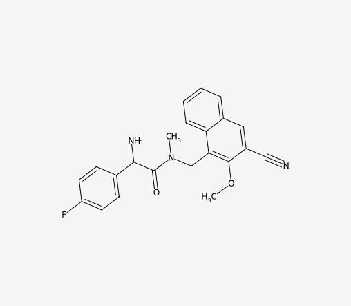 COc1c(C#N)cc2ccccc2c1CN(C)C(=O)C([NH])c1ccc(F)cc1